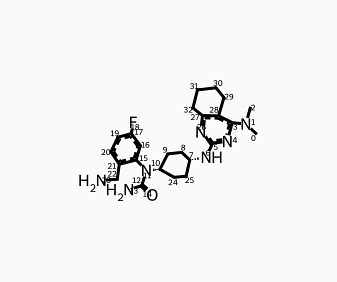 CN(C)c1nc(N[C@H]2CC[C@@H](N(C(N)=O)c3cc(F)ccc3CN)CC2)nc2c1CCCC2